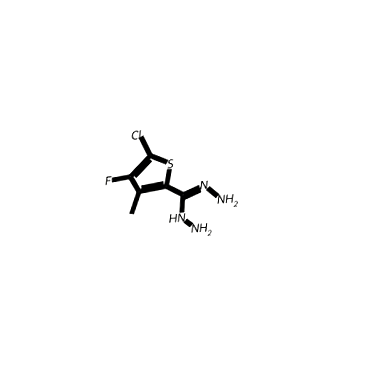 Cc1c(/C(=N/N)NN)sc(Cl)c1F